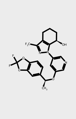 C[C@H](Oc1cncc(-n2nc(C(F)(F)F)c3c2[C@H](O)CCC3)c1)c1ccc2c(c1)OC(F)(F)O2